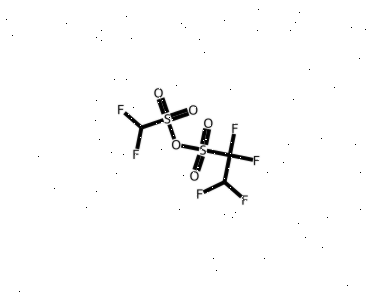 O=S(=O)(OS(=O)(=O)C(F)(F)C(F)F)C(F)F